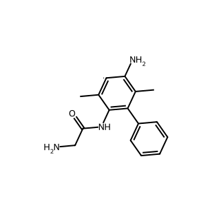 Cc1[c]c(N)c(C)c(-c2ccccc2)c1NC(=O)CN